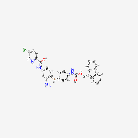 Nc1cc(NC(=O)c2ccc(Br)cn2)ccc1Sc1ccc(NC(=O)OCC2c3ccccc3-c3ccccc32)cc1